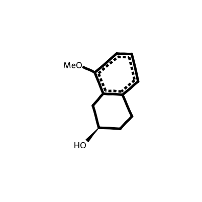 COc1cccc2c1C[C@H](O)CC2